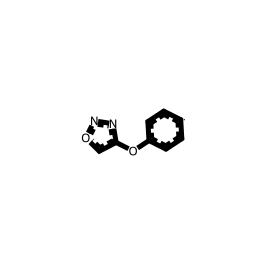 [c]1ccc(Oc2conn2)cc1